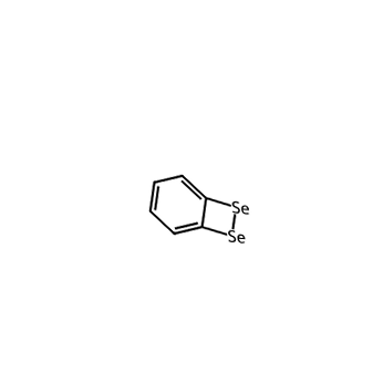 c1ccc2[se][se]c2c1